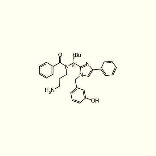 CC(C)(C)[C@H](c1nc(-c2ccccc2)cn1Cc1cccc(O)c1)N(CCCN)C(=O)c1ccccc1